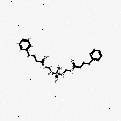 [NH]P(=O)(OCOC(=O)CCCc1ccccc1)OCOC(=O)CCCc1ccccc1